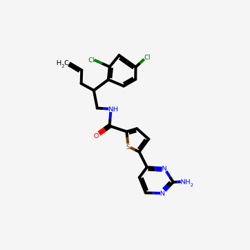 C=CCC(CNC(=O)c1ccc(-c2ccnc(N)n2)s1)c1ccc(Cl)cc1Cl